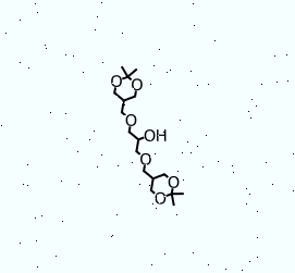 CC1(C)OCC(COCC(O)COCC2COC(C)(C)OC2)CO1